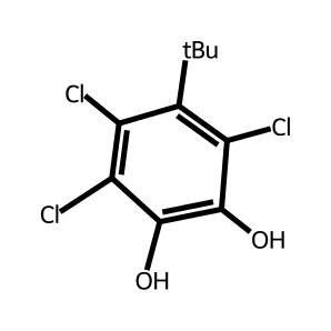 CC(C)(C)c1c(Cl)c(O)c(O)c(Cl)c1Cl